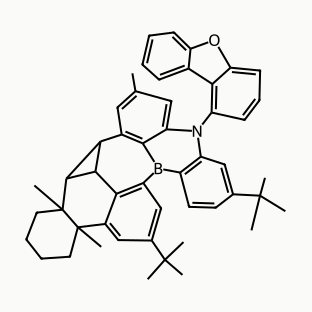 Cc1cc2c3c(c1)N(c1cccc4oc5ccccc5c14)c1cc(C(C)(C)C)ccc1B3c1cc(C(C)(C)C)cc3c1C1C2C1C1(C)CCCCC31C